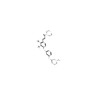 CCN1CCCC(Nc2cccc(Sc3ccc(C=CC(=O)N4CCOCC4)c(C(F)(F)F)c3C(F)(F)F)c2)C1